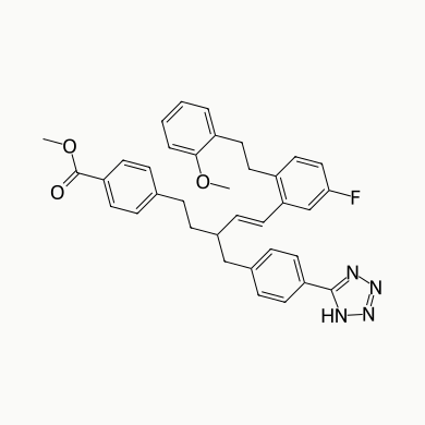 COC(=O)c1ccc(CCC(/C=C/c2cc(F)ccc2CCc2ccccc2OC)Cc2ccc(-c3nnn[nH]3)cc2)cc1